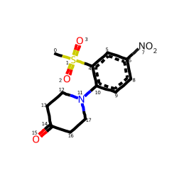 CS(=O)(=O)c1cc([N+](=O)[O-])ccc1N1CCC(=O)CC1